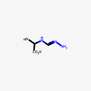 CCCC(NC=NN)C(=O)O